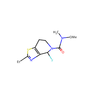 CCc1nc2c(s1)CCN(C(=O)N(C)OC)C2F